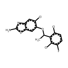 CC(Oc1cc2sc(N)nc2cc1Cl)c1c(Cl)ccc(F)c1Cl